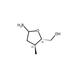 BC1C[C@H](C)[C@@H](CO)O1